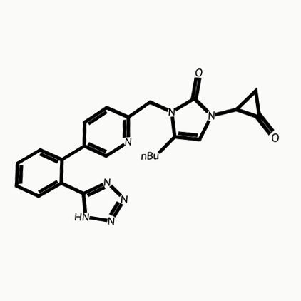 CCCCc1cn(C2CC2=O)c(=O)n1Cc1ccc(-c2ccccc2-c2nnn[nH]2)cn1